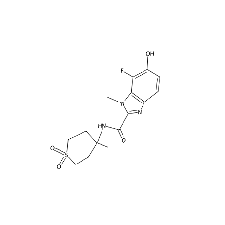 Cn1c(C(=O)NC2(C)CCS(=O)(=O)CC2)nc2ccc(O)c(F)c21